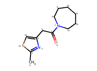 Cc1nc(CC(=O)N2CCCCCC2)cs1